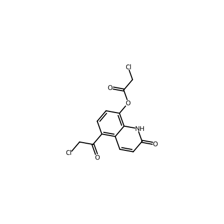 O=C(CCl)Oc1ccc(C(=O)CCl)c2ccc(=O)[nH]c12